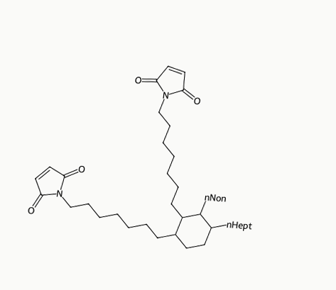 CCCCCCCCCC1C(CCCCCCC)CCC(CCCCCCCN2C(=O)C=CC2=O)C1CCCCCCCN1C(=O)C=CC1=O